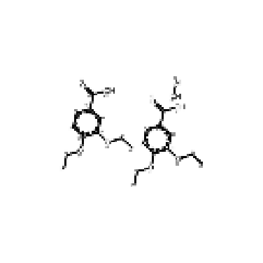 CCOc1ccc(C(=O)O)cc1OCC.CCOc1ccc(C(=O)O)cc1OCC.[OH][Al]